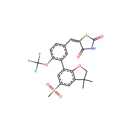 CC1(C)COc2c(-c3cc(C=C4SC(=O)NC4=O)ccc3OC(F)(F)F)cc(S(C)(=O)=O)cc21